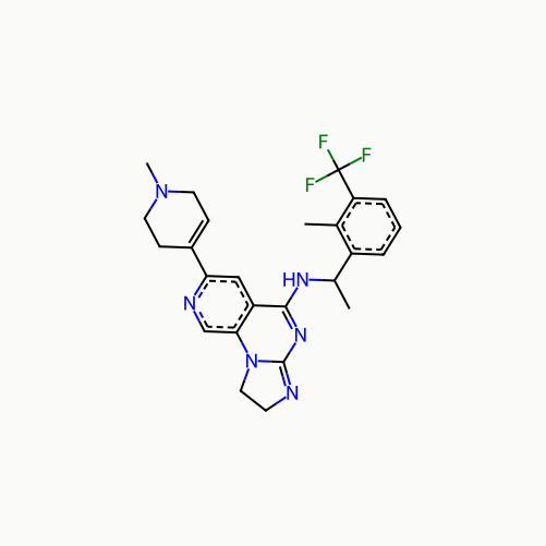 Cc1c(C(C)NC2=NC3=NCCN3c3cnc(C4=CCN(C)CC4)cc32)cccc1C(F)(F)F